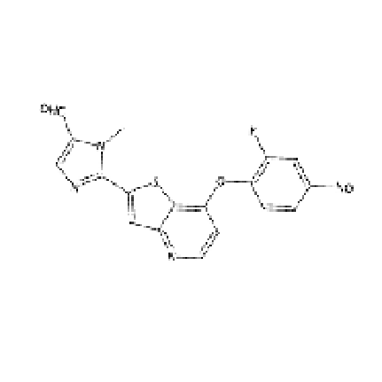 Cn1c(C=O)cnc1-c1cc2nccc(Oc3ccc(N=O)cc3F)c2s1